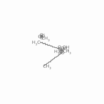 CCCCCCCCCCCCCCCCCC(=O)OC(C)[N+](C)(CCO)C(C)OC(=O)CCCCCCCCCCCCCCCCC.COS(=O)(=O)[O-]